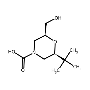 CC(C)(C)[C@H]1CN(C(=O)O)C[C@@H](CO)O1